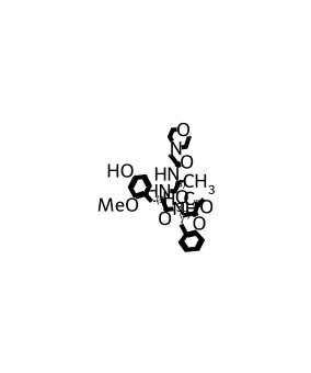 COc1cc(O)ccc1C[C@H](NC(=O)[C@H](C)NC(=O)CN1CCOCC1)C(=O)N[C@@H](Cc1ccccc1)C(=O)[C@@]1(C)CO1